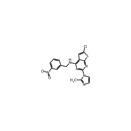 Cc1nccn1-c1nc(NCc2cccc([N+](=O)[O-])c2)c2cc(Cl)sc2n1